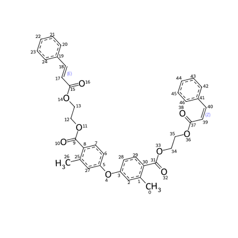 Cc1cc(Oc2ccc(C(=O)OCCOC(=O)/C=C/c3ccccc3)c(C)c2)ccc1C(=O)OCCOC(=O)/C=C\c1ccccc1